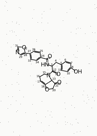 O=C(NC(Cc1ccc(O)cc1)C(=O)N1CCC=C2OCC(=O)C21)c1ccc(-c2cnco2)cc1